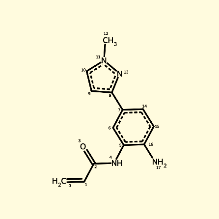 C=CC(=O)Nc1cc(-c2ccn(C)n2)ccc1N